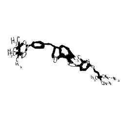 Cc1nc(OCCC(C)(C)O)ccc1Oc1cccc2c1OCC2Cc1ccc(B2OC(C)(C)C(C)(C)O2)cc1